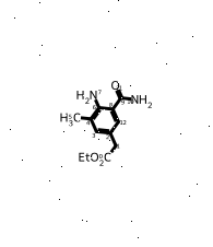 CCOC(=O)Cc1cc(C)c(N)c(C(N)=O)c1